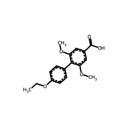 CCOc1ccc(-c2c(OC)cc(C(=O)O)cc2OC)cc1